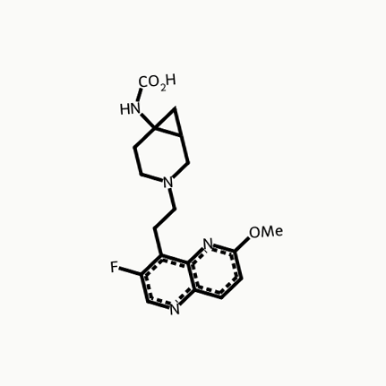 COc1ccc2ncc(F)c(CCN3CCC4(NC(=O)O)CC4C3)c2n1